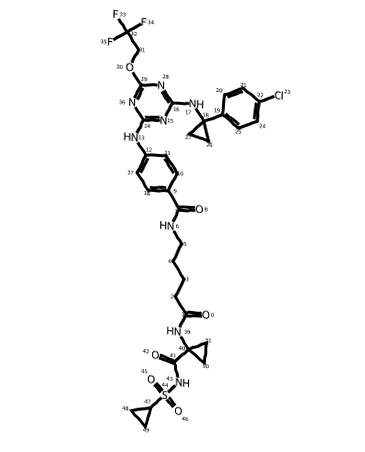 O=C(CCCCNC(=O)c1ccc(Nc2nc(NC3(c4ccc(Cl)cc4)CC3)nc(OCC(F)(F)F)n2)cc1)NC1(C(=O)NS(=O)(=O)C2CC2)CC1